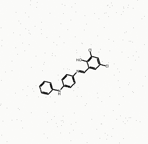 Oc1c(Cl)cc(Cl)cc1/C=N/c1ccc(Nc2ccccc2)cc1